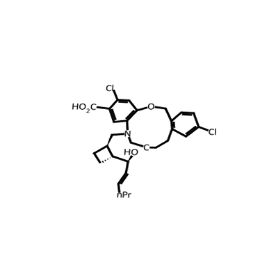 CCC/C=C/[C@H](O)[C@@H]1CC[C@H]1CN1CCCCc2cc(Cl)ccc2COc2cc(Cl)c(C(=O)O)cc21